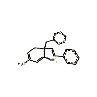 NC1=CCC(C=Cc2ccccc2)(Cc2ccccc2)C(N)=C1